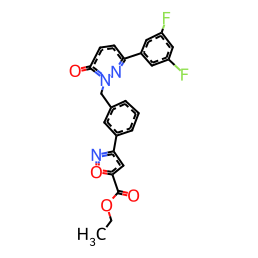 CCOC(=O)c1cc(-c2cccc(Cn3nc(-c4cc(F)cc(F)c4)ccc3=O)c2)no1